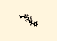 Cc1cccc(C(=O)c2cc(C(=O)Nc3cc(C4CC4)n[nH]3)n(C)c2)c1